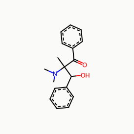 CN(C)C(C)(C(=O)c1ccccc1)C(O)c1ccccc1